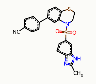 Cc1nc2ccc(S(=O)(=O)N3CCSc4ccc(-c5ccc(C#N)cc5)cc43)cc2[nH]1